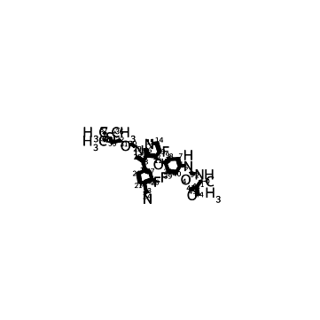 C[C@@H](NC(=O)Nc1cc(F)c(Oc2ccnc3c2c(-c2ccc(C#N)c(F)c2)cn3COCC[Si](C)(C)C)c(F)c1)C1COC1